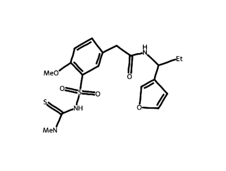 CCC(NC(=O)Cc1ccc(OC)c(S(=O)(=O)NC(=S)NC)c1)c1ccoc1